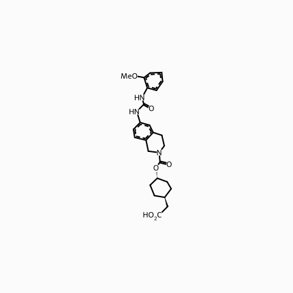 COc1ccccc1NC(=O)Nc1ccc2c(c1)CCN(C(=O)O[C@H]1CC[C@H](CC(=O)O)CC1)C2